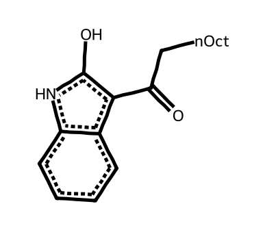 CCCCCCCCCC(=O)c1c(O)[nH]c2ccccc12